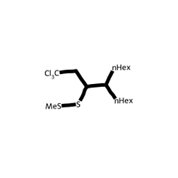 CCCCCCC(CCCCCC)C(CC(Cl)(Cl)Cl)SSC